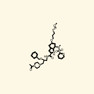 COOSCCCOc1cc(N(C)S(=O)(=O)c2ccccn2)c2[nH]c(C(=O)NCC(CN3CCN(C(C)=O)CC3)SCc3ccccc3)cc2c1